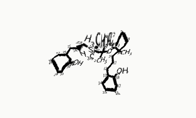 CC(C)(O[Si]1(C)CCC1(C)CCCc1ccccc1O)[Si](C)(C)CCCc1ccccc1O